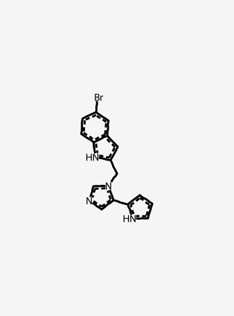 Brc1ccc2[nH]c(Cn3cncc3-c3ccc[nH]3)cc2c1